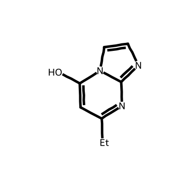 CCc1cc(O)n2ccnc2n1